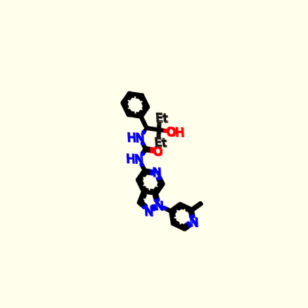 CCC(O)(CC)[C@@H](NC(=O)Nc1cc2cnn(-c3ccnc(C)c3)c2cn1)c1ccccc1